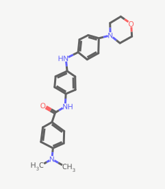 CN(C)c1ccc(C(=O)Nc2ccc(Nc3ccc(N4CCOCC4)cc3)cc2)cc1